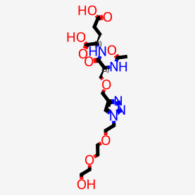 CC(=O)N[C@@H](COCc1cn(CCOCCOCCO)nn1)C(=O)N[C@H](CCC(=O)O)C(=O)O